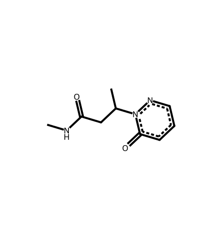 CNC(=O)CC(C)n1ncccc1=O